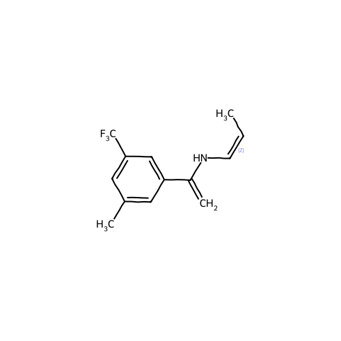 C=C(N/C=C\C)c1cc(C)cc(C(F)(F)F)c1